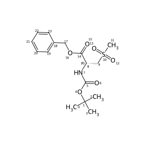 CC(C)(C)OC(=O)N[C@@H](CS(C)(=O)=O)C(=O)OCc1ccccc1